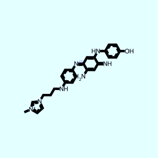 C[n+]1ccn(CCCNc2ccc(/N=C3/C=C(Nc4ccc(O)cc4)C(=N)C=C3N)cc2)c1